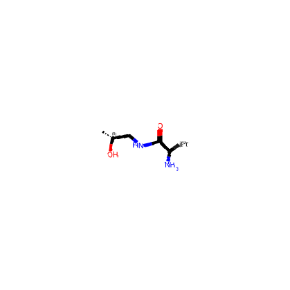 CC(C)C(N)C(=O)NC[C@@H](C)O